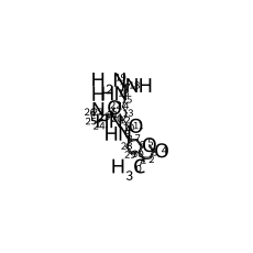 Cc1cc(=O)oc2cc(NC(=O)C(CCCNC(=N)N)NC(=O)C3CCCN3)ccc12